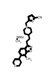 CNC.Cc1c(C2=CCOCC2)ccc2c(CCC3CCN(Cc4ccc(C#N)s4)CC3)noc12